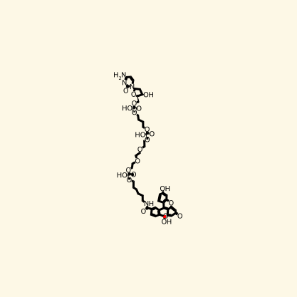 Nc1ccn([C@H]2C[C@@H](O)[C@@H](COP(=O)(O)OCCCCOP(=O)(O)OCCOCCOCCOP(=O)(O)OCCCCCCNC(=O)c3ccc(C(=O)O)c(-c4c5ccc(=O)cc-5oc5cc(O)ccc45)c3)O2)c(=O)n1